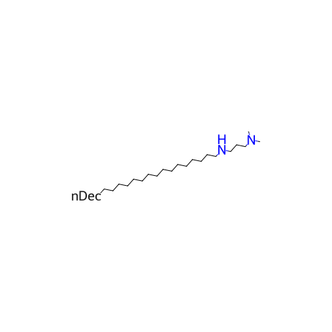 CCCCCCCCCCCCCCCCCCCCCCCCCCNCCCN(C)C